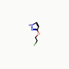 FCCOc1cc[nH]n1